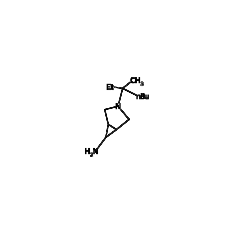 CCCCC(C)(CC)N1CC2C(N)C2C1